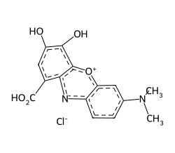 CN(C)c1ccc2nc3c(C(=O)O)cc(O)c(O)c3[o+]c2c1.[Cl-]